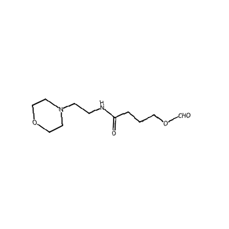 O=COCCCC(=O)NCCN1CCOCC1